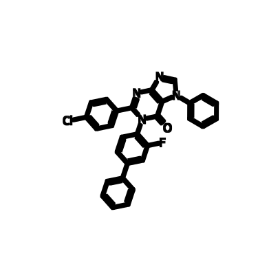 O=c1c2c(ncn2-c2ccccc2)nc(-c2ccc(Cl)cc2)n1-c1ccc(-c2ccccc2)cc1F